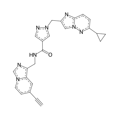 C#Cc1ccn2cnc(CNC(=O)c3cnn(Cc4cn5nc(C6CC6)ccc5n4)c3)c2c1